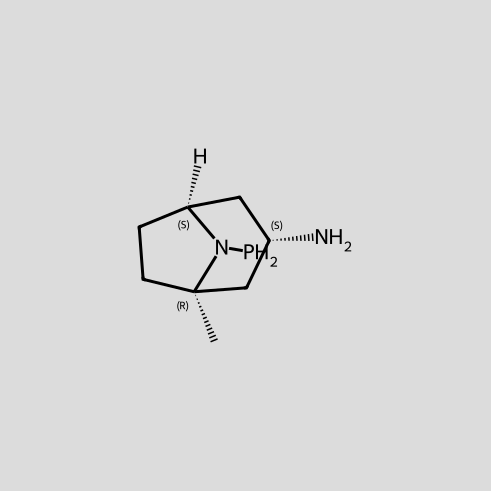 C[C@@]12CC[C@@H](C[C@H](N)C1)N2P